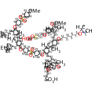 C=C/C(=C\C)OCCCCCCCCOc1ccc(C(C)(C)c2ccc(Oc3ccc(S(=O)(=O)c4ccc(Oc5ccc(C(C)(C)c6ccc(Oc7ccc(S(=O)(=O)c8ccc(OC)cc8)cc7)c(CCC[Si](CC)(CC)CC)c6)cc5CCC[Si](CC)(CC)CC)cc4)cc3)c(CCC(CC(C)(C)C(=O)OC)c3cccc(OCCCS(=O)(=O)O)c3)c2)cc1CCC(CC(C)(C)C(=O)OC)c1cccc(OCCCSOOO)c1